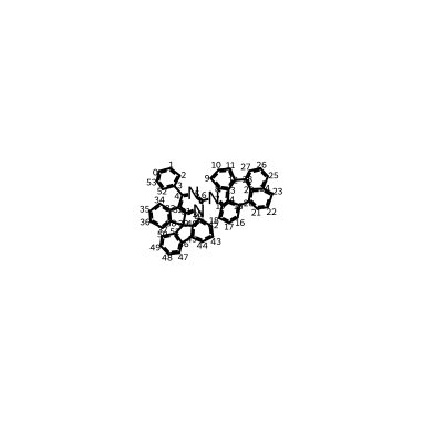 c1ccc(-c2nc(-n3c4cccc5c4c4c(cccc43)-c3cccc4cccc-5c34)nc3c2-c2ccccc2C32c3ccccc3-c3ccccc32)cc1